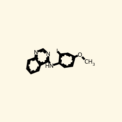 COc1ccc(Nc2ncnc3ccccc23)c(I)c1